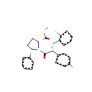 COC(=O)[C@@H]1CC[C@H](c2ccccc2)N1C(=O)[C@@H](Nc1c(F)cccc1F)c1ccc(Br)cc1